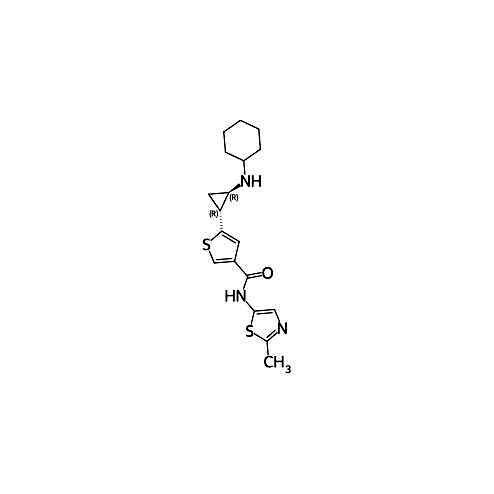 Cc1ncc(NC(=O)c2csc([C@@H]3C[C@H]3NC3CCCCC3)c2)s1